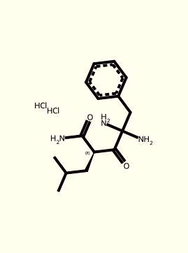 CC(C)C[C@@H](C(N)=O)C(=O)C(N)(N)Cc1ccccc1.Cl.Cl